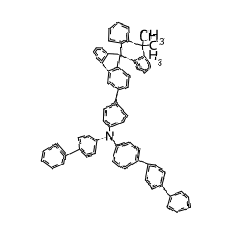 CC1(C)c2ccccc2C2(c3ccccc3-c3cc(-c4ccc(N(c5ccc(-c6ccccc6)cc5)c5ccc(-c6ccc(-c7ccccc7)cc6)cc5)cc4)ccc32)c2ccccc21